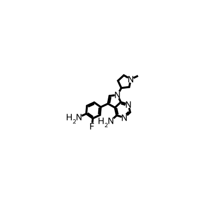 CN1CCC(n2cc(-c3ccc(N)c(F)c3)c3c(N)ncnc32)C1